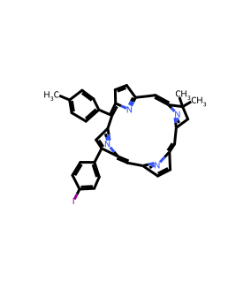 Cc1ccc(C2=C3C=CC(=N3)C=C3N=C(C=C4C=CC(=N4)C=C4N=C2C=C4c2ccc(I)cc2)CC3(C)C)cc1